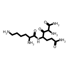 NCCCCC(N)C(=O)NC(CCC(N)=O)C(=O)C(N)C(N)=O